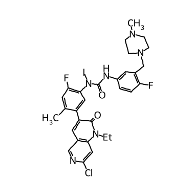 CCn1c(=O)c(-c2cc(N(I)C(=O)Nc3ccc(F)c(CN4CCN(C)CC4)c3)c(F)cc2C)cc2cnc(Cl)cc21